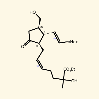 CCCCCC/C=C/[C@H]1[C@H](CO)CC(=O)[C@@H]1C/C=C\CCC(C)(O)C(=O)OCC